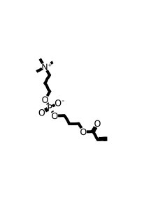 C=CC(=O)OCCCOP(=O)([O-])OCCC[N+](C)(C)C